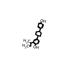 CCC(C)c1cc(C2CCC(c3ccc(O)cc3)CC2)ccc1O